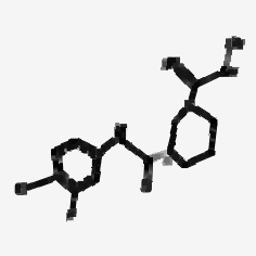 CCCNC(=N)N1CCC[C@H](C(=O)Nc2ccc(Cl)c(F)c2)C1